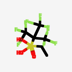 CCS(=O)(O)(O)C(C(F)(F)F)(C(F)(F)F)C(F)(F)F